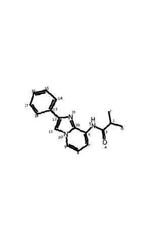 CC(C)C(=O)Nc1cccn2cc(-c3ccccc3)nc12